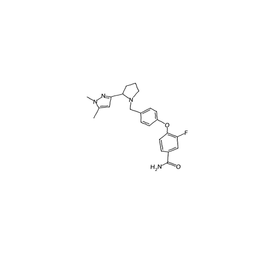 Cc1cc(C2CCCN2Cc2ccc(Oc3ccc(C(N)=O)cc3F)cc2)nn1C